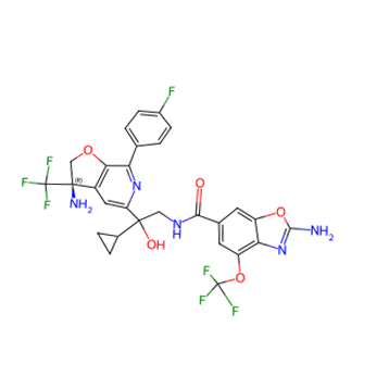 Nc1nc2c(OC(F)(F)F)cc(C(=O)NCC(O)(c3cc4c(c(-c5ccc(F)cc5)n3)OC[C@@]4(N)C(F)(F)F)C3CC3)cc2o1